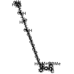 COc1cc2nc(Cl)nc(N3CCC(n4c(=O)n(CC(=O)NCCOCCOCCOCCOCCOCCOCCOCCOCCNC(=O)CCCCCNC(=O)CCCCCNC(=O)CCCC[C@@H]5SC[C@@H]6NC(=O)N[C@@H]65)c5ccccc54)CC3)c2cc1OC